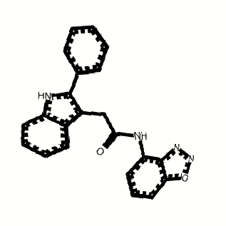 O=C(Cc1c(-c2ccccc2)[nH]c2ccccc12)Nc1cccc2onnc12